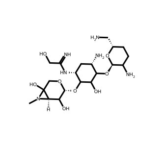 CN1[C@@H]2C(O)[C@@H](OC3C(O)C(O[C@H]4O[C@H](CN)CCC4N)[C@@H](N)C[C@H]3NC(=N)CO)OCC21O